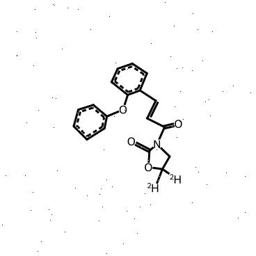 [2H]C1([2H])CN(C(=O)C=Cc2ccccc2Oc2ccccc2)C(=O)O1